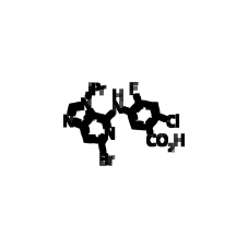 CC(C)n1cnc2cc(Br)nc(Nc3cc(C(=O)O)c(Cl)cc3F)c21